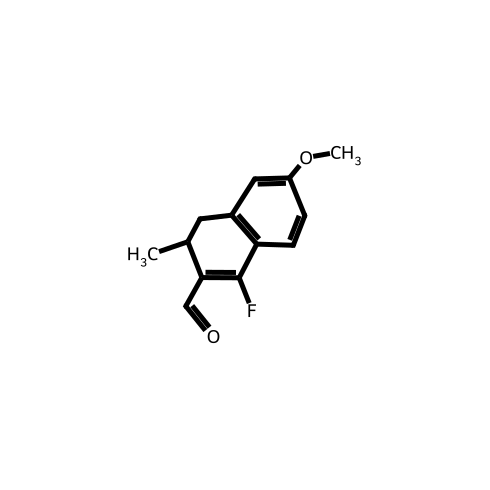 COc1ccc2c(c1)CC(C)C(C=O)=C2F